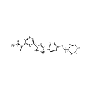 CC(C)NC(=O)c1cccc(-c2cc(-c3ccc(CNC4CCCCC4)cc3)[nH]n2)c1